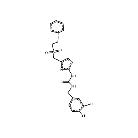 O=C(NCc1ccc(Cl)c(Cl)c1)Nc1nc(CS(=O)(=O)CCc2ccccc2)cs1